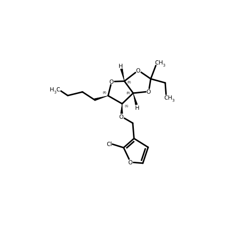 CCCC[C@H]1O[C@@H]2OC(C)(CC)O[C@@H]2[C@H]1OCc1ccoc1Cl